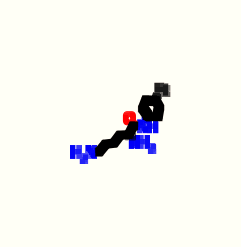 CCc1ccc(NC(=O)[C@@H](N)CCCCN)cc1